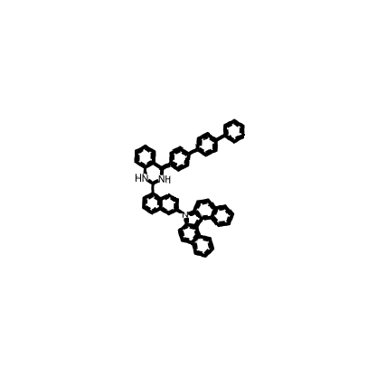 c1ccc(-c2ccc(-c3ccc(C4NC(c5cccc6cc(-n7c8ccc9ccccc9c8c8c9ccccc9ccc87)ccc56)Nc5ccccc54)cc3)cc2)cc1